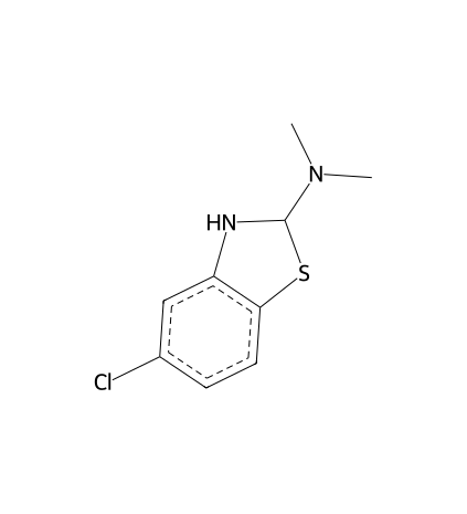 CN(C)C1Nc2cc(Cl)ccc2S1